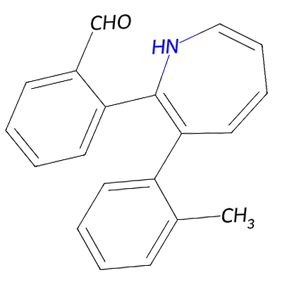 Cc1ccccc1C1=C(c2ccccc2C=O)NC=CC=C1